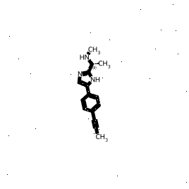 CC#Cc1ccc(-c2cnc([C@@H](C)NC)[nH]2)cc1